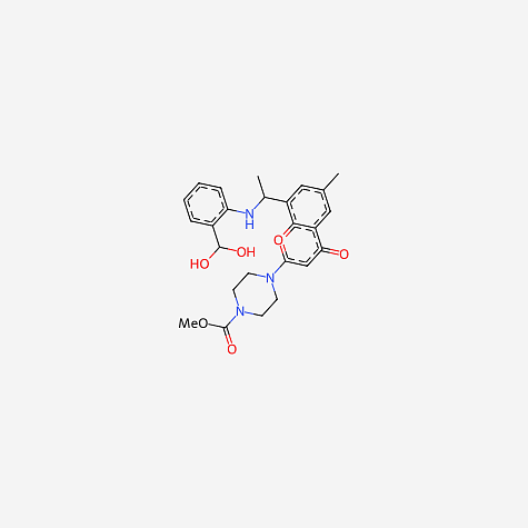 COC(=O)N1CCN(c2cc(=O)c3cc(C)cc(C(C)Nc4ccccc4C(O)O)c3o2)CC1